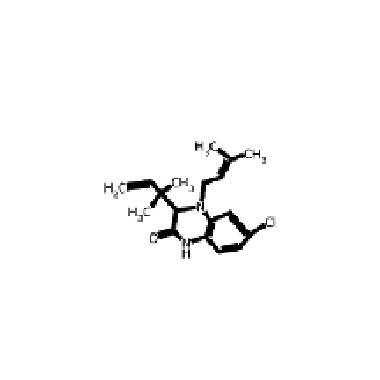 C=CC(C)(C)C1C(=O)Nc2ccc(Cl)cc2N1CC=C(C)C